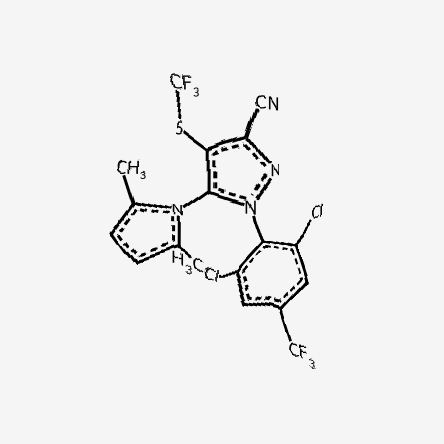 Cc1ccc(C)n1-c1c(SC(F)(F)F)c(C#N)nn1-c1c(Cl)cc(C(F)(F)F)cc1Cl